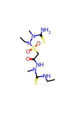 CCNC(=S)N(C)NC(=O)CS(=O)(=O)N(CC)N(C)C(N)=S